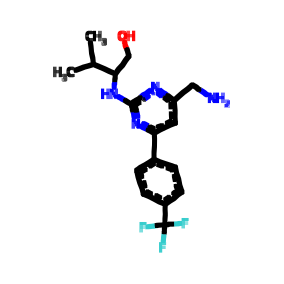 CC(C)C(CO)Nc1nc(CN)cc(-c2ccc(C(F)(F)F)cc2)n1